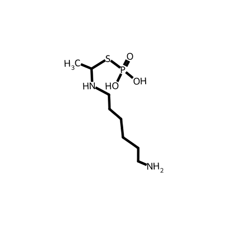 CC(NCCCCCCN)SP(=O)(O)O